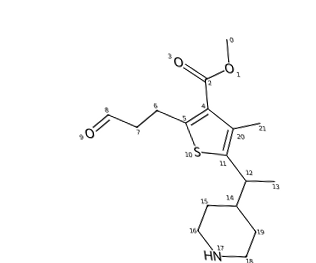 COC(=O)c1c(CCC=O)sc(C(C)C2CCNCC2)c1C